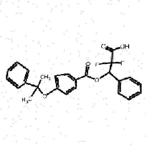 CC(C)(Oc1ccc(C(=O)OC(c2ccccc2)C(F)(F)C(=O)O)cc1)c1ccccc1